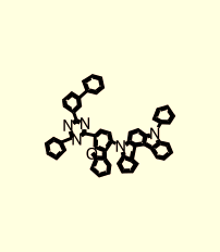 c1ccc(-c2cccc(-c3nc(-c4ccccc4)nc(-c4ccc(-n5c6ccccc6c6c7c8ccccc8n(-c8ccccc8)c7ccc65)c5c4oc4ccccc45)n3)c2)cc1